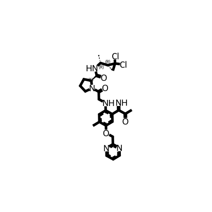 CC(=O)C(=N)c1cc(OCc2ncccn2)c(C)cc1NCC(=O)N1CCC[C@H]1C(=O)N[C@H](C)[C@H]1CC1(Cl)Cl